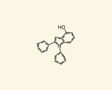 Oc1cccc2c1cc(-c1ccccc1)n2-c1ccccc1